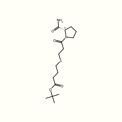 CC(C)(C)OC(=O)CCCSCCC(=O)N1CCC[C@H]1C(N)=O